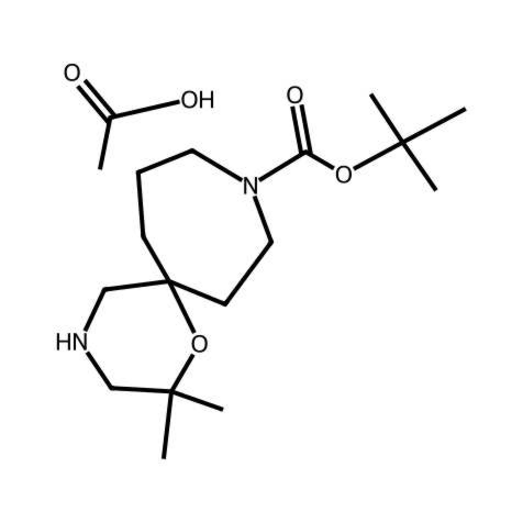 CC(=O)O.CC(C)(C)OC(=O)N1CCCC2(CC1)CNCC(C)(C)O2